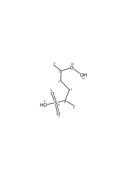 CC(CCC(C)S(=O)(=O)O)OO